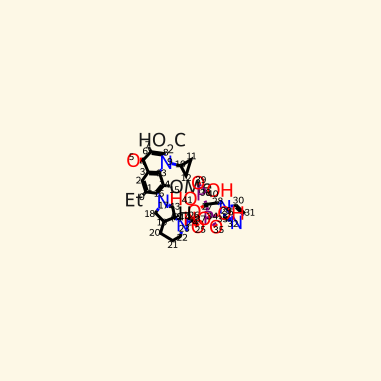 CCc1cc2c(=O)c(C(=O)O)cn(C3CC3)c2c(OC)c1N1CC2CCCN(C(=O)OC(Cn3ccnc3)(P(=O)(O)O)P(=O)(O)O)[C@H]2C1